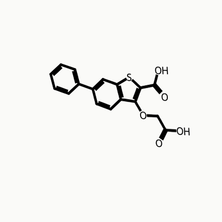 O=C(O)COc1c(C(=O)O)sc2cc(-c3ccccc3)ccc12